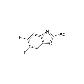 CC(=O)c1nc2cc(F)c(I)cc2o1